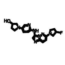 OC1CCN(c2ccc(Nc3cnc4ccc(N5CCC(F)C5)nn34)nc2)C1